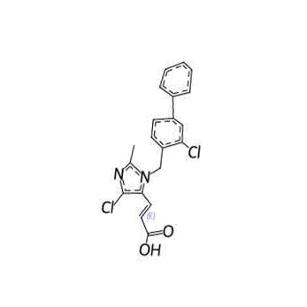 Cc1nc(Cl)c(/C=C/C(=O)O)n1Cc1ccc(-c2ccccc2)cc1Cl